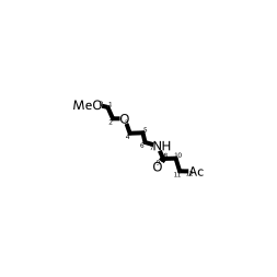 COCCOCCCNC(=O)CCC(C)=O